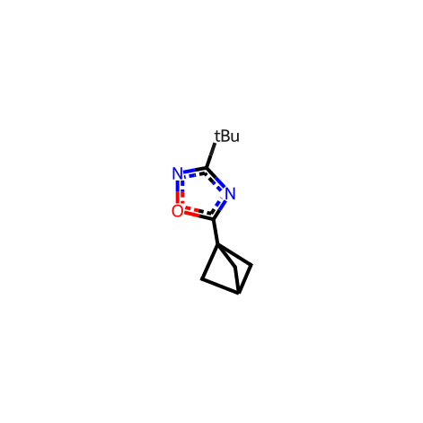 CC(C)(C)c1noc(C23CC(C2)C3)n1